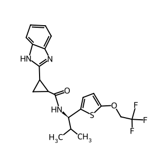 CC(C)[C@@H](NC(=O)C1CC1c1nc2ccccc2[nH]1)c1ccc(OCC(F)(F)F)s1